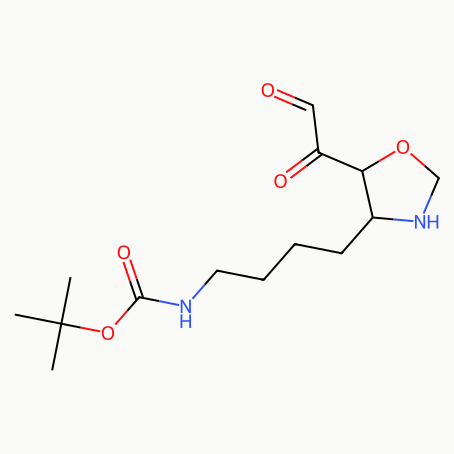 CC(C)(C)OC(=O)NCCCCC1NCOC1C(=O)C=O